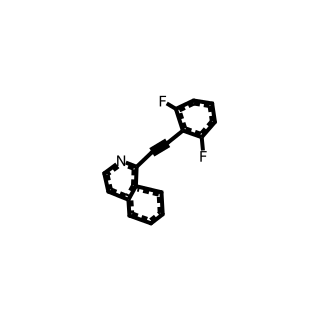 Fc1cccc(F)c1C#Cc1nccc2ccccc12